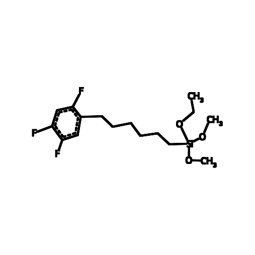 CCO[Si](CCCCCCc1cc(F)c(F)cc1F)(OC)OC